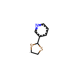 [CH]1CSC(c2cccnc2)S1